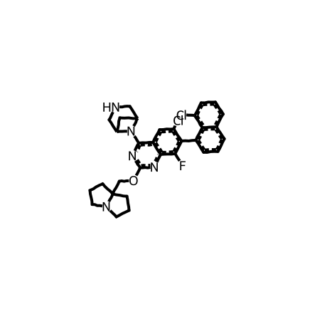 Fc1c(-c2cccc3cccc(Cl)c23)c(Cl)cc2c(N3C4CNCC3C4)nc(OCC34CCCN3CCC4)nc12